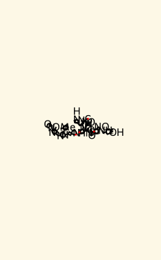 COc1cc(CN2CCN(C3CC4(CCN(c5ccc(C(=O)NS(=O)(=O)c6ccc(NCC7CCC(C)(O)CC7)c([N+](=O)[O-])c6)c(N6C[C@H]7COCCCN7c7nc8[nH]ccc8cc76)c5)CC4)C3)[C@H](c3ccccc3C)C2)cnc1N1CCOCC1